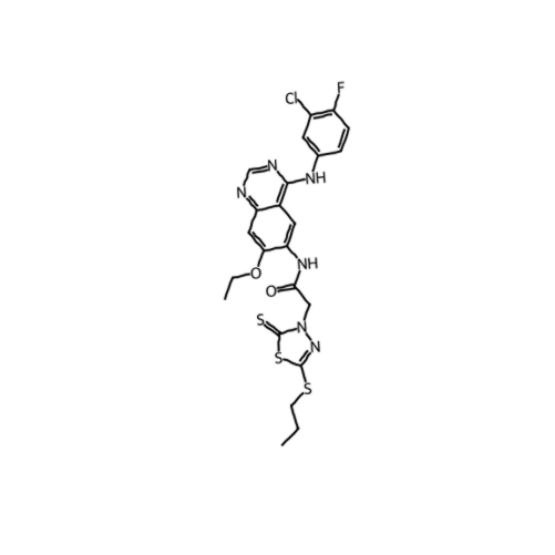 CCCSc1nn(CC(=O)Nc2cc3c(Nc4ccc(F)c(Cl)c4)ncnc3cc2OCC)c(=S)s1